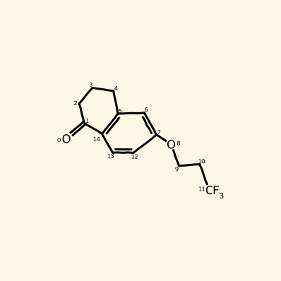 O=C1CCCc2cc(OCCC(F)(F)F)ccc21